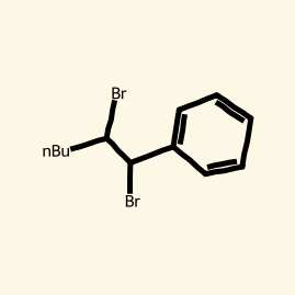 CCCCC(Br)C(Br)c1ccccc1